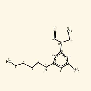 Nc1nc(NCCCCO)nc(N(C=O)CO)n1